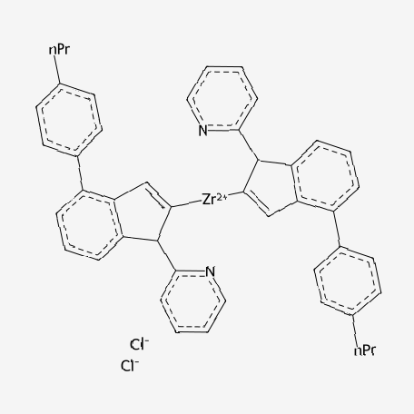 CCCc1ccc(-c2cccc3c2C=[C]([Zr+2][C]2=Cc4c(-c5ccc(CCC)cc5)cccc4C2c2ccccn2)C3c2ccccn2)cc1.[Cl-].[Cl-]